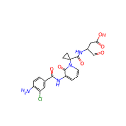 Nc1ccc(C(=O)Nc2cccn(C3(C(=O)NC(C=O)CC(=O)O)CC3)c2=O)cc1Cl